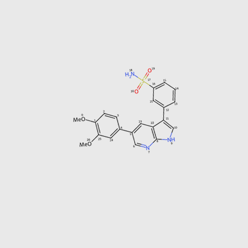 COc1ccc(-c2cnc3[nH]cc(-c4cccc(S(N)(=O)=O)c4)c3c2)cc1OC